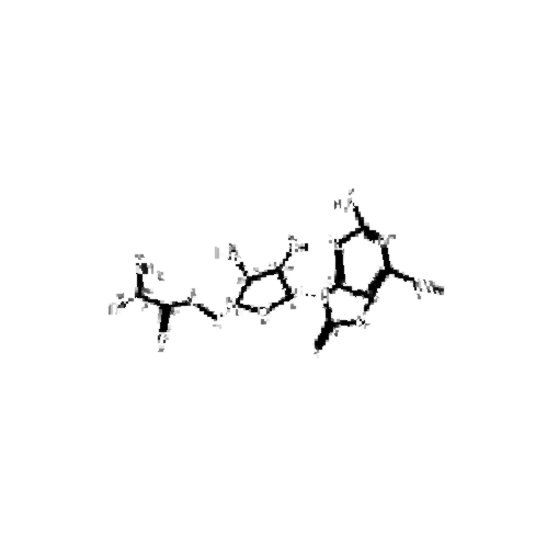 C=C1Sc2c(NC)nc(N)nc2N1[C@@H]1O[C@H](COC(=O)[C@@H](N)C(C)C)[C@@H](O)[C@H]1O